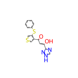 O=C(C=C(O)c1nc[nH]n1)c1cscc1Sc1ccccc1